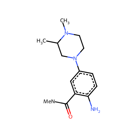 CNC(=O)c1cc(N2CCN(C)C(C)C2)ccc1N